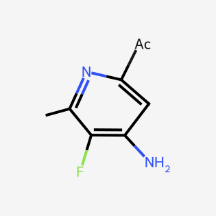 CC(=O)c1cc(N)c(F)c(C)n1